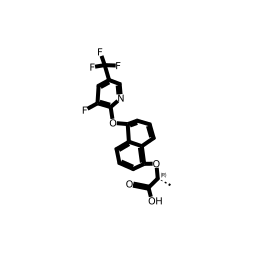 C[C@@H](Oc1cccc2c(Oc3ncc(C(F)(F)F)cc3F)cccc12)C(=O)O